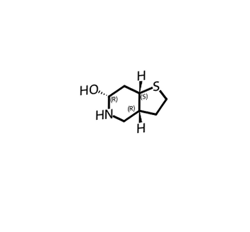 O[C@@H]1C[C@@H]2SCC[C@@H]2CN1